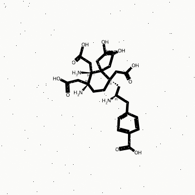 N[C@H](Cc1ccc(C(=O)O)cc1)C[C@]1(CC(=O)O)CC[C@](N)(CC(=O)O)[C@](N)(CC(=O)O)C1(CC(=O)O)CC(=O)O